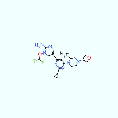 CC1CN(C2COC2)CCN1c1cc(C2=CN=C(N)N(OC(F)F)C2)nc(C2CC2)n1